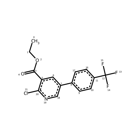 CCOC(=O)c1cc(-c2ccc(C(F)(F)F)cc2)cnc1Cl